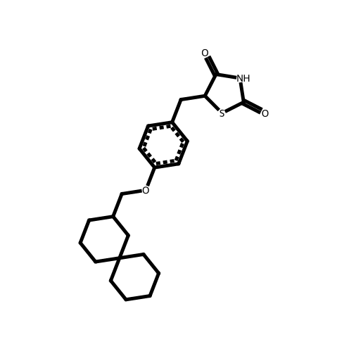 O=C1NC(=O)C(Cc2ccc(OCC3CCCC4(CCCCC4)C3)cc2)S1